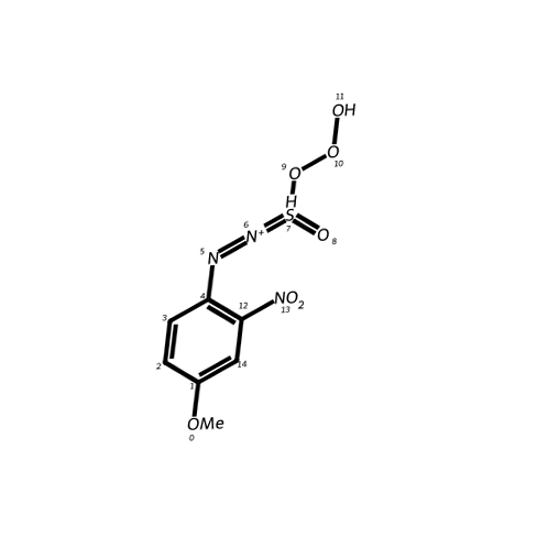 COc1ccc(N=[N+]=[SH](=O)OOO)c([N+](=O)[O-])c1